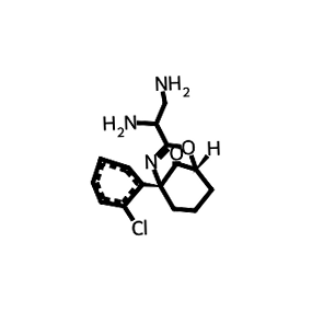 NCC(N)C1=N[C@@]2(c3ccccc3Cl)CCC[C@@H](O1)C2=O